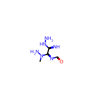 CN(N)C(=NC=O)C(=N)NN